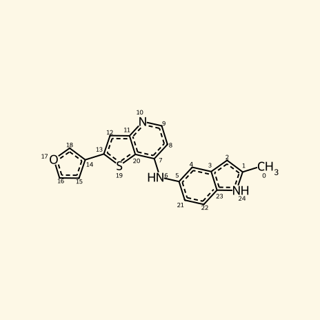 Cc1cc2cc(Nc3ccnc4cc(-c5ccoc5)sc34)ccc2[nH]1